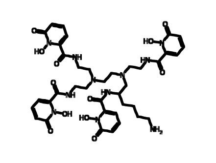 NCCCCC(CN(CCNC(=O)c1cccc(=O)n1O)CCN(CCNC(=O)c1cccc(=O)n1O)CCNC(=O)c1cccc(=O)n1O)NC(=O)c1cccc(=O)n1O